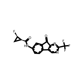 O=C1c2cc(NC(=O)[C@H]3C[C@H]3F)ccc2-c2cnc(C(F)(F)F)nc21